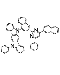 c1ccc(-c2cc(-c3ccc4ccccc4c3)nc(-c3cc(-n4c5ccccc5c5cc6c(cc54)c4ccccc4n6-c4ccccc4)c4ccccc4c3)n2)cc1